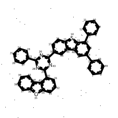 c1ccc(-c2cc(-c3ccccc3)c3sc4ccc(-c5nc(-c6ccccc6)nc(-c6cccc7oc8ccccc8c67)n5)cc4c3c2)cc1